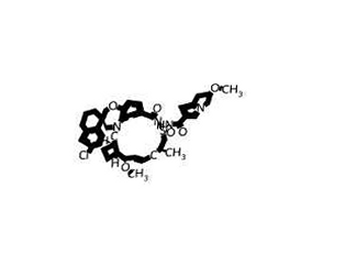 COC1Cc2cc(C(=O)N[S@@]3(=O)=NC(=O)c4ccc5c(c4)N(C[C@@H]4CC[C@H]4[C@@H](OC)/C=C/C[C@H](C)C3)C[C@@]3(CCCc4cc(Cl)ccc43)CO5)cn2C1